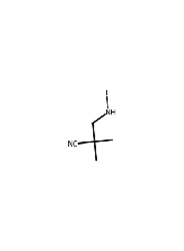 CC(C)(C#N)CNI